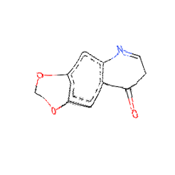 O=C1CC=Nc2cc3c(cc21)OCO3